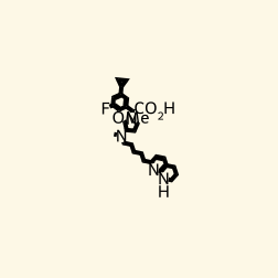 COc1c(F)cc(C2CC2)cc1[C@H](C(=O)O)N1CC[C@@H](N(C)CCCCCc2ccc3c(n2)NCCC3)C1